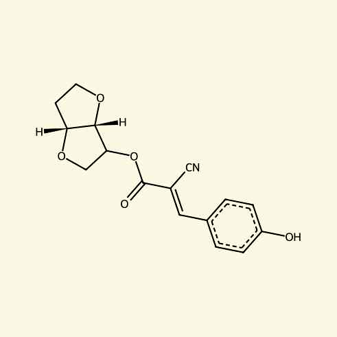 N#C/C(=C\c1ccc(O)cc1)C(=O)OC1CO[C@@H]2CCO[C@H]12